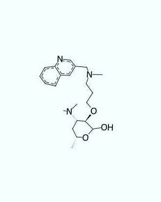 C[C@@H]1C[C@H](N(C)C)[C@@H](OCCCN(C)Cc2cnc3ccccc3c2)C(O)O1